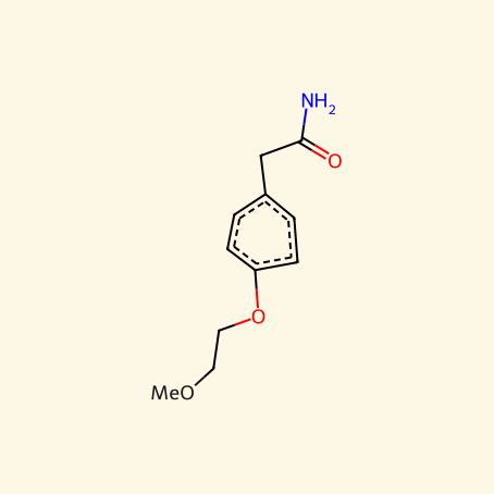 COCCOc1ccc(CC(N)=O)cc1